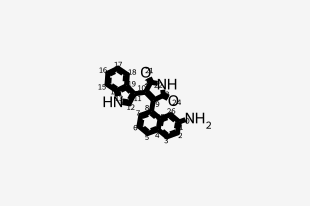 Nc1ccc2cccc(C3=C(c4c[nH]c5ccccc45)C(=O)NC3=O)c2c1